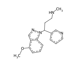 CNCCC(c1cccnc1)n1ncc2c(OC)cccc21